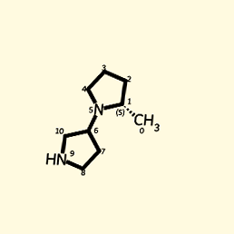 C[C@H]1CCCN1C1CCNC1